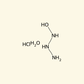 Cl.NNNO.O